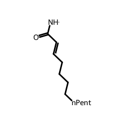 CCCCCCCCCC=CC([NH])=O